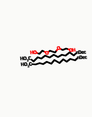 CCCCCCCCCCCCCCCCCCCCCC(=O)O.CCCCCCCCCCCCCCCCCCCCCC(=O)O.OCCOCCOCCO